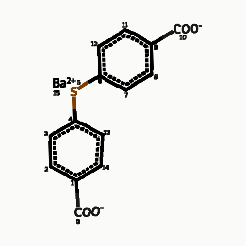 O=C([O-])c1ccc(Sc2ccc(C(=O)[O-])cc2)cc1.[Ba+2]